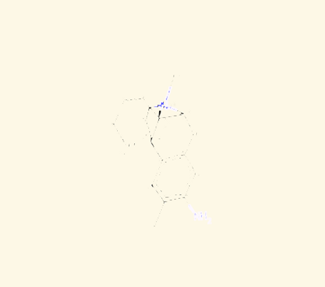 Cc1cc2c(cc1N)C[C@H]1[C@H]3CCCC[C@@]23CCN1C